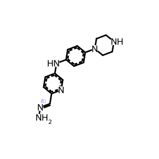 N/N=C/c1ccc(Nc2ccc(N3CCNCC3)cc2)cn1